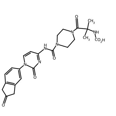 CC(C)(NC(=O)O)C(=O)N1CCN(C(=O)Nc2ccn(-c3ccc4c(c3)CC(=O)C4)c(=O)n2)CC1